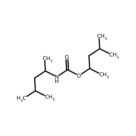 CC(C)CC(C)NC(=O)OC(C)CC(C)C